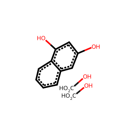 O=C(O)O.O=C(O)O.Oc1cc(O)c2ccccc2c1